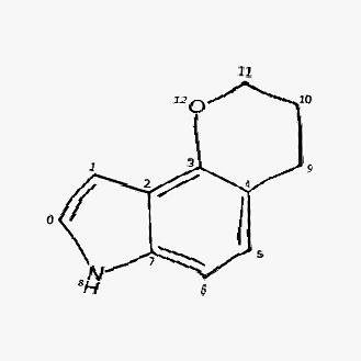 c1cc2c3c(ccc2[nH]1)CCCO3